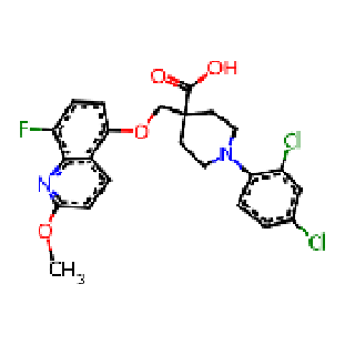 COc1ccc2c(OCC3(C(=O)O)CCN(c4ccc(Cl)cc4Cl)CC3)ccc(F)c2n1